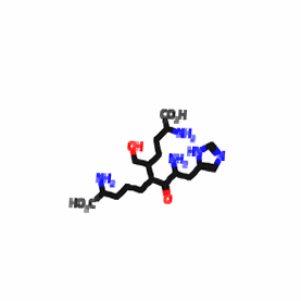 NC(CCCC(C(=O)C(N)Cc1cnc[nH]1)C(CO)CCC(N)C(=O)O)C(=O)O